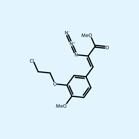 COC(=O)/C(=C/c1ccc(OC)c(OCCCl)c1)N=[N+]=[N-]